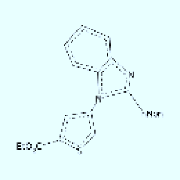 CCCCCCCCCc1nc2ccccc2n1-c1csc(C(=O)OCC)c1